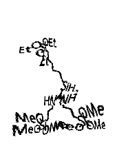 CCO[Si](CCCCCC[SiH2]C(NCCC[Si](OC)(OC)OC)NCCC[Si](OC)(OC)OC)(OCC)OCC